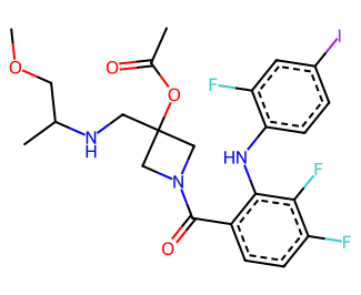 COCC(C)NCC1(OC(C)=O)CN(C(=O)c2ccc(F)c(F)c2Nc2ccc(I)cc2F)C1